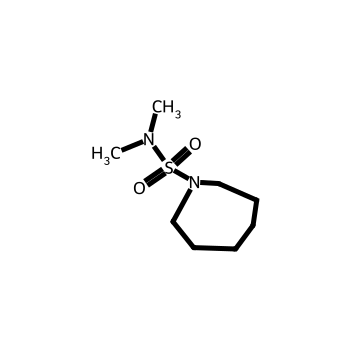 CN(C)S(=O)(=O)N1CCCCCC1